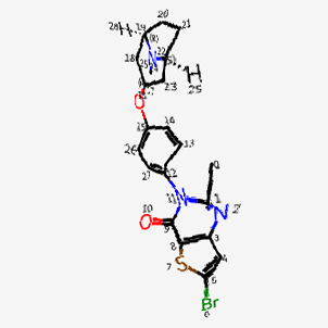 Cc1nc2cc(Br)sc2c(=O)n1-c1ccc(O[C@H]2C[C@H]3CC[C@@H](C2)N3C)cc1